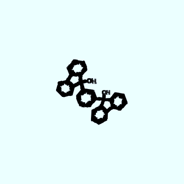 OC1(c2cccc(C3(O)c4ccccc4-c4ccccc43)c2)c2ccccc2-c2ccccc21